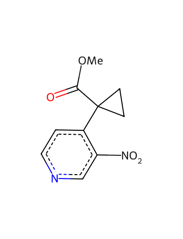 COC(=O)C1(c2ccncc2[N+](=O)[O-])CC1